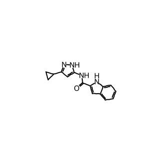 O=C(Nc1cc(C2CC2)n[nH]1)c1cc2ccccc2[nH]1